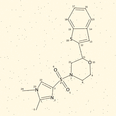 Cc1nc(S(=O)(=O)N2CCOC(c3cc4ccccc4s3)C2)cn1C